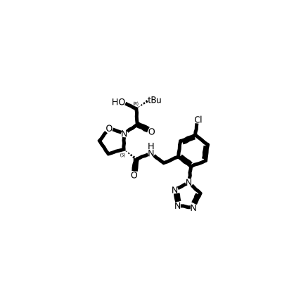 CC(C)(C)[C@@H](O)C(=O)N1OCC[C@H]1C(=O)NCc1cc(Cl)ccc1-n1cnnn1